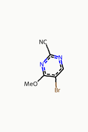 COc1nc(C#N)ncc1Br